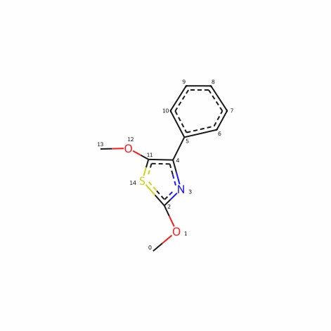 COc1nc(-c2ccccc2)c(OC)s1